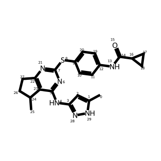 Cc1cc(Nc2nc(Sc3ccc(NC(=O)C4CC4)cc3)nc3c2C(C)CC3)n[nH]1